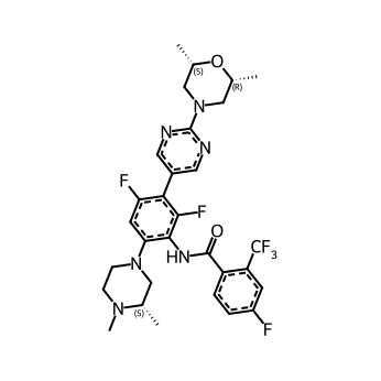 C[C@@H]1CN(c2ncc(-c3c(F)cc(N4CCN(C)[C@@H](C)C4)c(NC(=O)c4ccc(F)cc4C(F)(F)F)c3F)cn2)C[C@H](C)O1